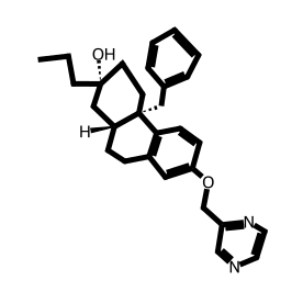 CCC[C@@]1(O)CC[C@@]2(Cc3ccccc3)c3ccc(OCc4cnccn4)cc3CC[C@@H]2C1